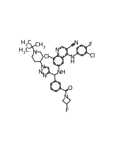 CC(C)(C)N1CCC(n2cc(C(Nc3cc(Cl)c4ncc(C#N)c(Nc5ccc(F)c(Cl)c5)c4c3)c3cccc(C(=O)N4CC(F)C4)c3)nn2)CC1